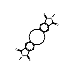 CN1C(=O)c2cc3c(cc2C1=O)CCCc1cc2c(cc1CCC3)C(=O)N(C)C2=O